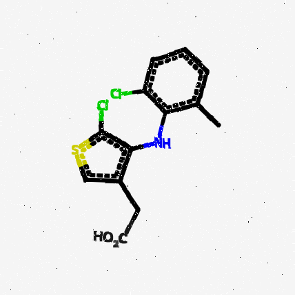 Cc1cccc(Cl)c1Nc1c(CC(=O)O)csc1Cl